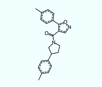 Cc1ccc(-c2oncc2C(=O)N2CCC(c3ccc(C)cc3)C2)cc1